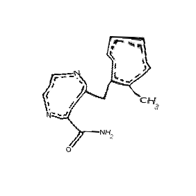 Cc1ccccc1Cc1nccnc1C(N)=O